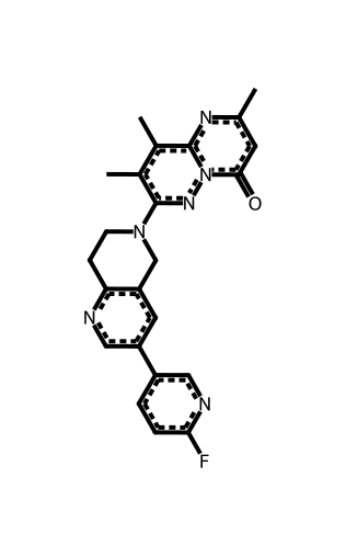 Cc1cc(=O)n2nc(N3CCc4ncc(-c5ccc(F)nc5)cc4C3)c(C)c(C)c2n1